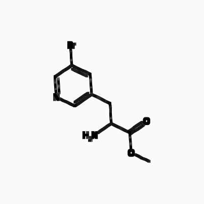 COC(=O)C(N)Cc1cncc(Br)c1